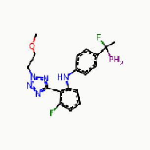 COCCn1nnc(-c2c(F)cccc2Nc2ccc(C(C)(F)P)cc2)n1